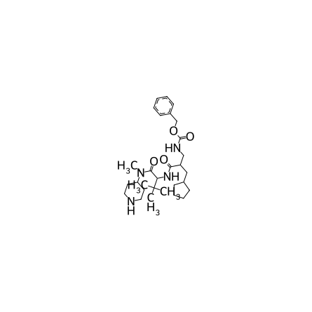 CN(C(=O)C(NC(=O)C(CNC(=O)OCc1ccccc1)CC1CCCC1)C(C)(C)C)C1CCNCC1